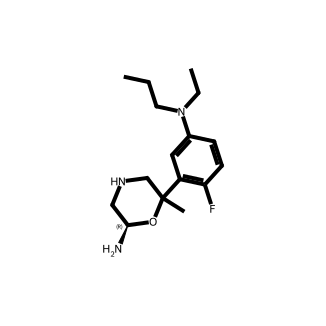 CCCN(CC)c1ccc(F)c(C2(C)CNC[C@H](N)O2)c1